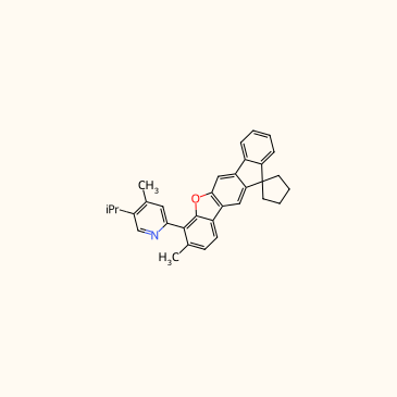 Cc1cc(-c2c(C)ccc3c2oc2cc4c(cc23)C2(CCCC2)c2ccccc2-4)ncc1C(C)C